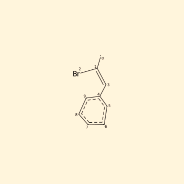 [CH2]/C(Br)=C/c1ccccc1